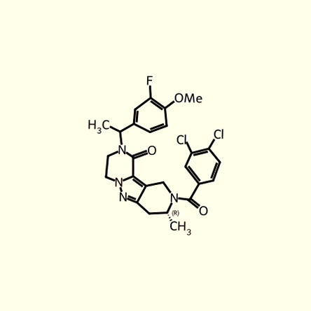 COc1ccc(C(C)N2CCn3nc4c(c3C2=O)CN(C(=O)c2ccc(Cl)c(Cl)c2)[C@H](C)C4)cc1F